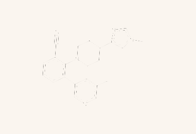 Cn1cnc(C2CCN(c3c(C#N)cccc3-c3cncc(F)c3)CC2)c1